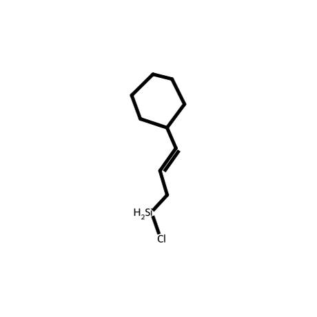 Cl[SiH2]CC=CC1CCCCC1